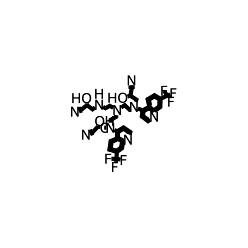 N#CC(O)CNCCN(CCN(CC(O)C#N)c1ccnc2cc(C(F)(F)F)ccc12)CCN(CC(O)C#N)c1ccnc2cc(C(F)(F)F)ccc12